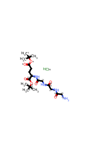 CC(C)(C)OC(=O)CCC(NC(=O)CNC(=O)CNC(=O)CN)C(=O)OC(C)(C)C.Cl